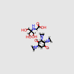 O=C(O)CNC(CO)(CO)CO.O=C1C=C(N2CC2)C(=O)C(N2CC2)=C1N1CC1